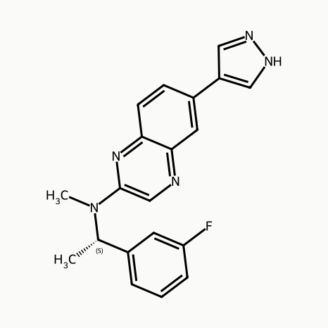 C[C@@H](c1cccc(F)c1)N(C)c1cnc2cc(-c3cn[nH]c3)ccc2n1